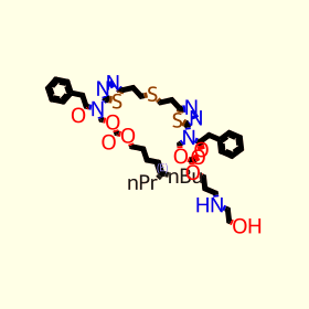 CCCC/C(=C/CCCOC(=O)OCN(C(=O)Cc1ccccc1)c1nnc(CCSCCc2nnc(N(COC(=O)OCCCNCCO)C(=O)Cc3ccccc3)s2)s1)CCC